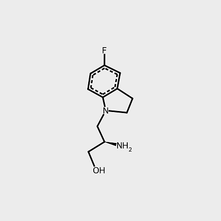 N[C@@H](CO)CN1CCc2cc(F)ccc21